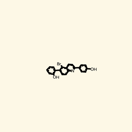 Oc1ccc(-c2ccc3c(Br)c(-c4ccccc4O)ccc3n2)cc1